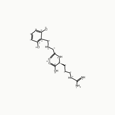 N=C(N)NCCC[C@H](NC(=O)CNCc1c(Cl)cccc1Cl)C(=O)O